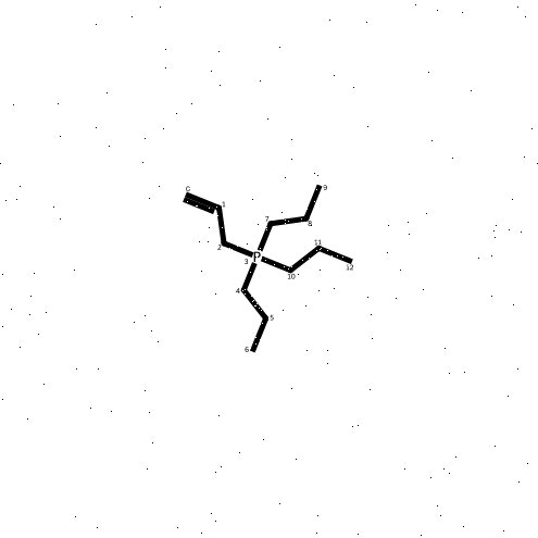 C=CC[P](CCC)(CCC)CCC